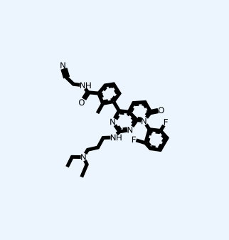 CCN(CC)CCCNc1nc(-c2cccc(C(=O)NCC#N)c2C)c2ccc(=O)n(-c3c(F)cccc3F)c2n1